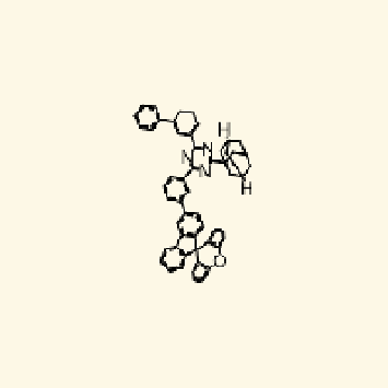 C1=C(c2ccccc2)CCC=C1c1nc(-c2cccc(-c3ccc4c(c3)-c3ccccc3C43c4ccccc4Oc4ccccc43)c2)nc(C23CC4C[C@H](C2)C[C@H](C4)C3)n1